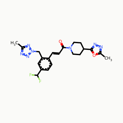 Cc1nnn(Cc2cc(C(F)F)ccc2C=CC(=O)N2CCC(c3nnc(C)o3)CC2)n1